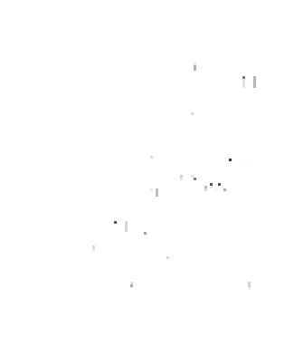 CCC/C=C/COC(=O)[C@@H](C)C[C@H](Cc1ccccc1)NC(=O)c1csc([C@@H](C[C@H](C(C)C)N(C)C(=O)[C@@H](N)[C@@H](C)CC)OC)n1